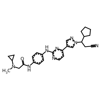 CN(CC(=O)Nc1ccc(Nc2nccc(-c3cnn(C(CC#N)C4CCCC4)c3)n2)cc1)C1CC1